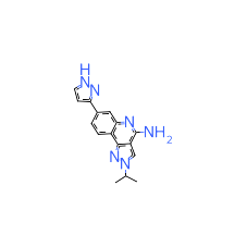 CC(C)n1cc2c(N)nc3cc(-c4cc[nH]n4)ccc3c2n1